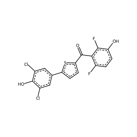 O=C(c1ccc(-c2cc(Cl)c(O)c(Cl)c2)s1)c1c(F)ccc(O)c1F